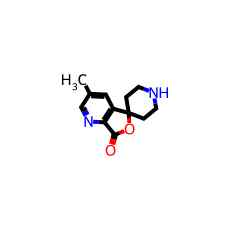 Cc1cnc2c(c1)C1(CCNCC1)OC2=O